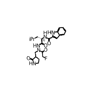 CC(C)C[C@H](NC(=O)c1cc2ccccc2[nH]1)C(=O)NN(CC1CCNC1=O)C(=O)CF